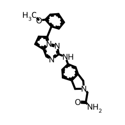 COc1ccccc1-c1ccc2cnc(Nc3ccc4c(c3)CN(CC(N)=O)C4)nn12